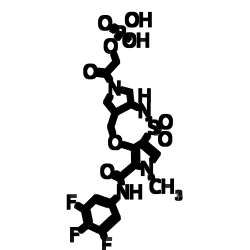 Cn1cc2c(c1C(=O)Nc1cc(F)c(F)c(F)c1)OCC1CN(C(=O)COP(=O)(O)O)CC1NS2(=O)=O